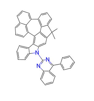 CC1(C)c2cccc3c2-c2c1cc1c(c2-c2cccc4cccc-3c24)c2ccccc2n1-c1nc(-c2ccccc2)c2ccccc2n1